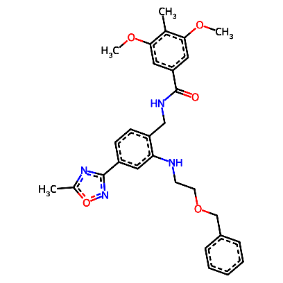 COc1cc(C(=O)NCc2ccc(-c3noc(C)n3)cc2NCCOCc2ccccc2)cc(OC)c1C